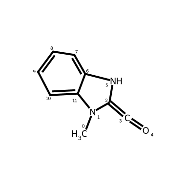 CN1C(=C=O)Nc2ccccc21